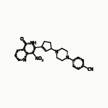 N#Cc1ccc(N2CCN(C3C=C(c4[nH]c(=O)c5cccnc5c4[N+](=O)[O-])CC3)CC2)cc1